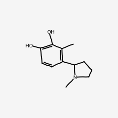 Cc1c(C2CCCN2C)ccc(O)c1O